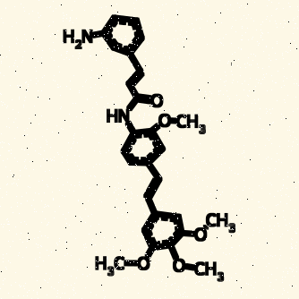 COc1cc(C=Cc2cc(OC)c(OC)c(OC)c2)ccc1NC(=O)/C=C/c1cccc(N)c1